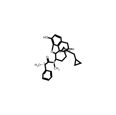 C[C@H](C(=O)N(C)C1CC[C@@]2(O)[C@H]3Cc4ccc(O)c5c4[C@@]2(CCN3CC2CC2)C1O5)c1ccccc1